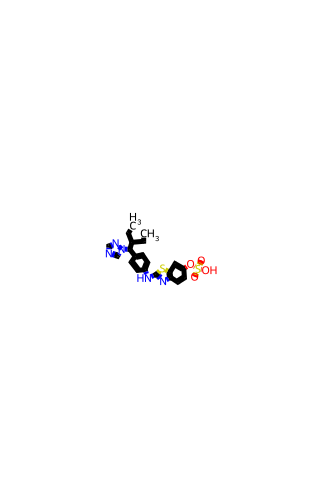 CCC(CC)C(c1ccc(Nc2nc3ccc(OS(=O)(=O)O)cc3s2)cc1)n1cncn1